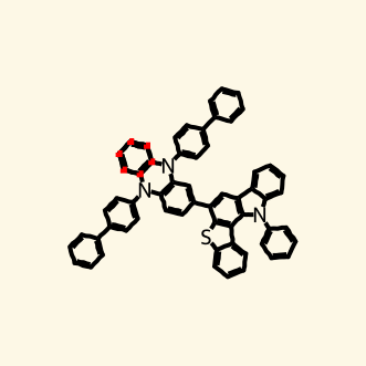 c1ccc(-c2ccc(N(c3ccccc3)c3ccc(-c4cc5c6ccccc6n(-c6ccccc6)c5c5c4sc4ccccc45)cc3N(c3ccccc3)c3ccc(-c4ccccc4)cc3)cc2)cc1